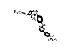 CCOc1ccc(CN2CCN(c3ccc(Nc4nccc(-c5ccc(NC(C)=O)cc5)n4)cc3)CC2)c(OCC)c1